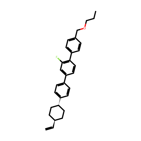 C=C[C@H]1CC[C@H](c2ccc(-c3ccc(-c4ccc(COCCC)cc4)c(F)c3)cc2)CC1